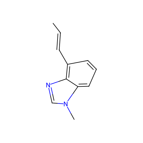 C/C=C/c1cccc2c1ncn2C